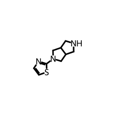 c1csc(N2CC3CNCC3C2)n1